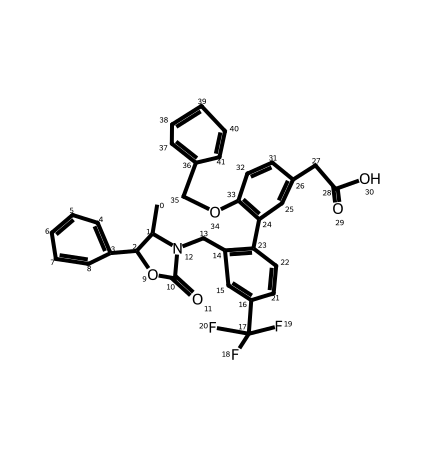 CC1C(c2ccccc2)OC(=O)N1Cc1cc(C(F)(F)F)ccc1-c1cc(CC(=O)O)ccc1OCc1ccccc1